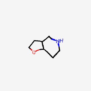 C1CC2OCCC2CN1